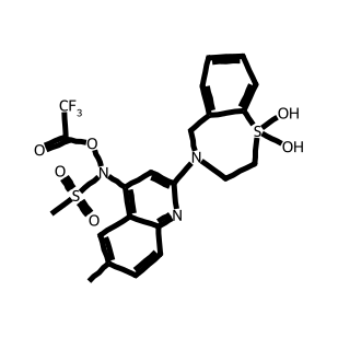 Cc1ccc2nc(N3CCS(O)(O)c4ccccc4C3)cc(N(OC(=O)C(F)(F)F)S(C)(=O)=O)c2c1